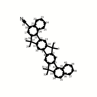 CC1(C)c2cc3c(cc2-c2cc4c(cc21)-c1c(cc(C#N)c2ccccc12)C4(C)C)C(C)(C)c1ccc2ccccc2c1-3